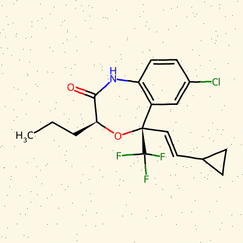 CCC[C@@H]1O[C@](C=CC2CC2)(C(F)(F)F)c2cc(Cl)ccc2NC1=O